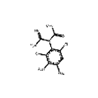 CNC(=O)N(C(=N)N)c1c(Cl)cc(OC(C)=O)c(OC(C)=O)c1Cl